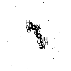 CNC(=O)c1cc2c(Oc3ccc(NC(=O)Nc4nccs4)cc3)ncnc2cc1OC